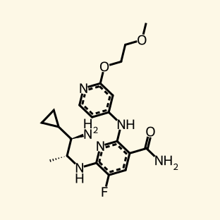 COCCOc1cc(Nc2nc(N[C@H](C)[C@H](N)C3CC3)c(F)cc2C(N)=O)ccn1